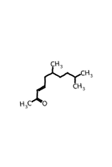 CC(=O)/C=C/CC(C)CCC(C)C